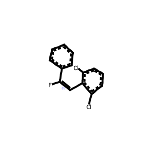 F/C(=C/c1c(Cl)cccc1Cl)c1cc[c]cc1